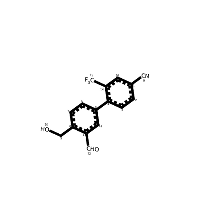 N#Cc1ccc(-c2ccc(CO)c(C=O)c2)c(C(F)(F)F)c1